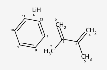 C=C(C)C(=C)C.[LiH].c1ccccc1